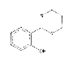 Oc1ccccc1C1SCCCS1